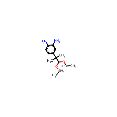 C[SiH2]OC(O[SiH2]C)C(C)(C)c1ccc(N)c(N)c1